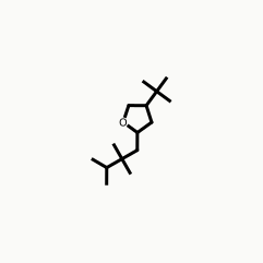 CC(C)C(C)(C)CC1CC(C(C)(C)C)CO1